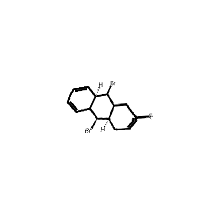 FC1=CC[C@@H]2C(C1)C(Br)[C@@H]1C=CC=CC1[C@@H]2Br